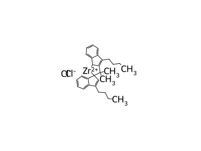 CCCCC1=C[C]2([Zr+2][CH]3C(=C(CCCC)c4ccccc43)C2(C)C)c2ccccc21.[Cl-].[Cl-]